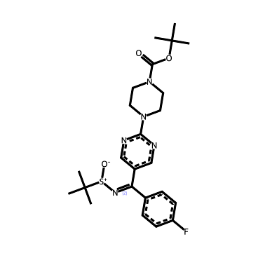 CC(C)(C)OC(=O)N1CCN(c2ncc(/C(=N\[S+]([O-])C(C)(C)C)c3ccc(F)cc3)cn2)CC1